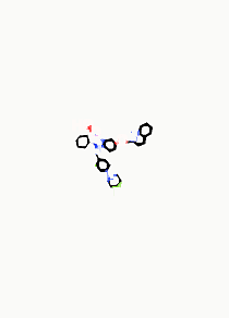 O=C(O)[C@@H]1CCCC[C@@H]1c1nc2cc(OCc3ccc4ccccc4n3)ccc2n1Cc1ccc(N2CCC(F)(F)CC2)cc1F